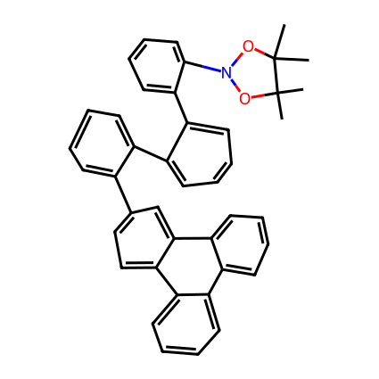 CC1(C)ON(c2ccccc2-c2ccccc2-c2ccccc2-c2ccc3c4ccccc4c4ccccc4c3c2)OC1(C)C